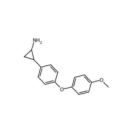 COc1ccc(Oc2ccc(C3CC3N)cc2)cc1